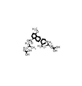 CC(C)C.CC(C)C.COc1ccc([N+](=O)[O-])c2ccccc12.Nc1cccnc1.O=C(O)O.O=C(O)O